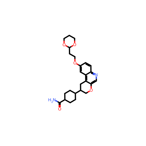 NC(=O)C1CCC(C2COc3cnc4ccc(OCCC5OCCCO5)cc4c3C2)CC1